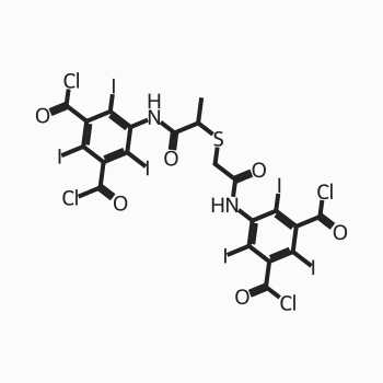 CC(SCC(=O)Nc1c(I)c(C(=O)Cl)c(I)c(C(=O)Cl)c1I)C(=O)Nc1c(I)c(C(=O)Cl)c(I)c(C(=O)Cl)c1I